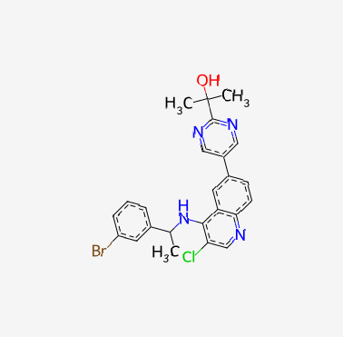 CC(Nc1c(Cl)cnc2ccc(-c3cnc(C(C)(C)O)nc3)cc12)c1cccc(Br)c1